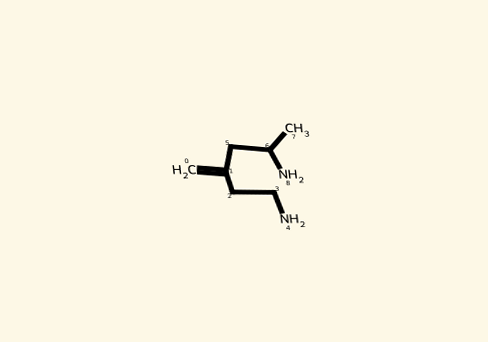 C=C(CCN)CC(C)N